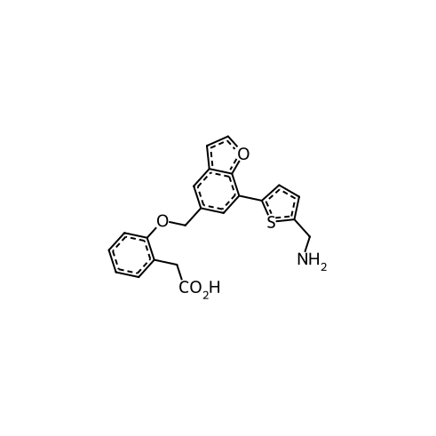 NCc1ccc(-c2cc(COc3ccccc3CC(=O)O)cc3ccoc23)s1